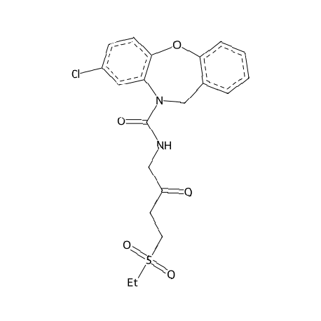 CCS(=O)(=O)CCC(=O)CNC(=O)N1Cc2ccccc2Oc2ccc(Cl)cc21